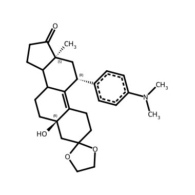 CN(C)c1ccc([C@H]2C[C@]3(C)C(=O)CCC3C3CC[C@@]4(O)CC5(CCC4=C32)OCCO5)cc1